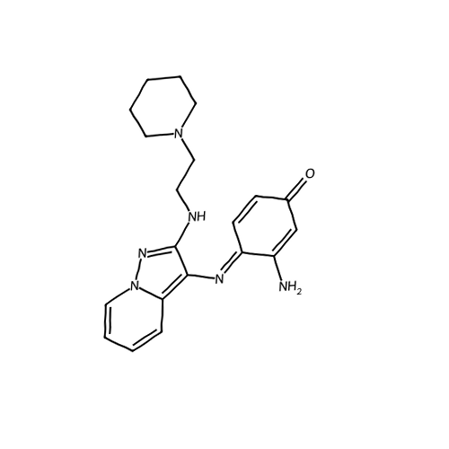 NC1=CC(=O)C=C/C1=N\c1c(NCCN2CCCCC2)nn2ccccc12